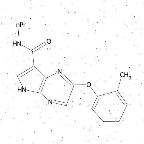 CCCNC(=O)c1c[nH]c2ncc(Oc3ccccc3C)nc12